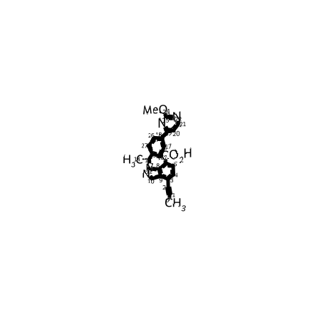 CC#Cc1ccc(C(=O)O)c2c1cnn2[C@H](C)c1ccc(-c2ccnc(OC)n2)cc1